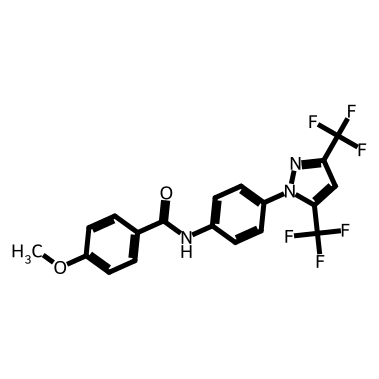 COc1ccc(C(=O)Nc2ccc(-n3nc(C(F)(F)F)cc3C(F)(F)F)cc2)cc1